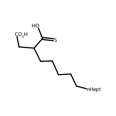 CCCCCCCCCCCCC(CC(=O)O)C(O)=S